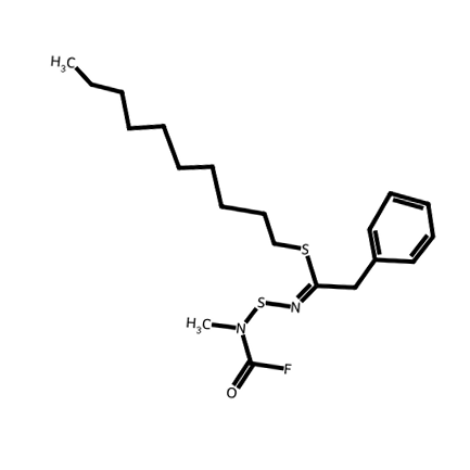 CCCCCCCCCCSC(Cc1ccccc1)=NSN(C)C(=O)F